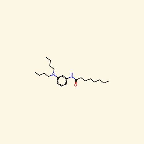 CCCCCCCC(=O)Nc1cccc(N(CCCC)CCCC)c1